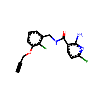 C#CCOc1cccc(CNC(=O)c2ccc(F)nc2N)c1F